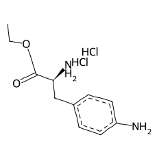 CCOC(=O)[C@@H](N)Cc1ccc(N)cc1.Cl.Cl